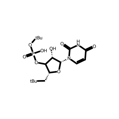 CC(C)(C)C[C@H]1O[C@@H](n2ccc(=O)[nH]c2=O)[C@@H](O)C1OP(=O)(O)OC(C)(C)C